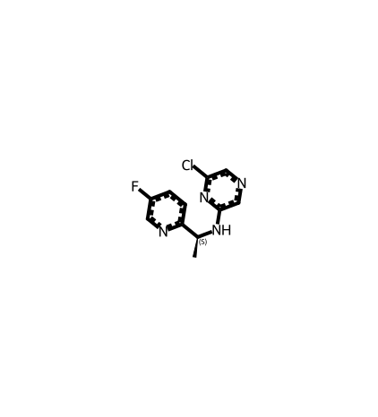 C[C@H](Nc1cncc(Cl)n1)c1ccc(F)cn1